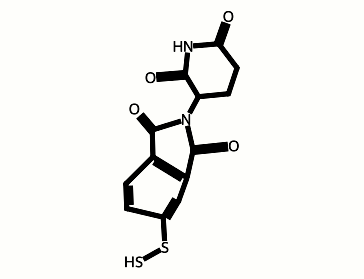 O=C1CCC(N2C(=O)c3ccc(SS)cc3C2=O)C(=O)N1